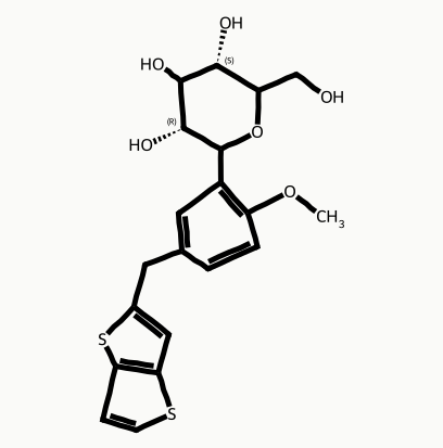 COc1ccc(Cc2cc3sccc3s2)cc1C1OC(CO)[C@@H](O)C(O)[C@H]1O